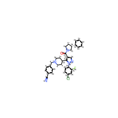 N#Cc1ccc(CN2CCC(c3c(C(=O)N4CC[C@H](c5ccccc5)C4)cnn3-c3ccc(Cl)cc3F)CC2)cc1